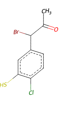 CC(=O)C(Br)c1ccc(Cl)c(S)c1